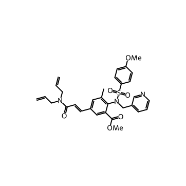 C=CCN(CC=C)C(=O)/C=C/c1cc(C)c(N(Cc2cccnc2)S(=O)(=O)c2ccc(OC)cc2)c(C(=O)OC)c1